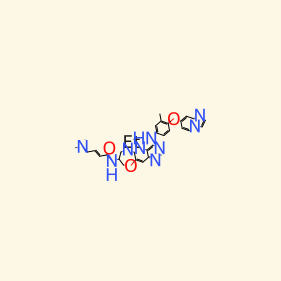 CCN1CC(NC(=O)/C=C/CN(C)C)COc2cc3ncnc(Nc4ccc(Oc5ccn6ccnc6c5)c(C)c4)c3nc21